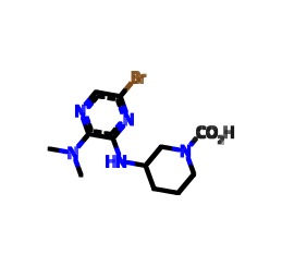 CN(C)c1ncc(Br)nc1NC1CCCN(C(=O)O)C1